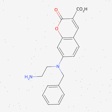 NCCN(Cc1ccccc1)c1ccc2cc(C(=O)O)c(=O)oc2c1